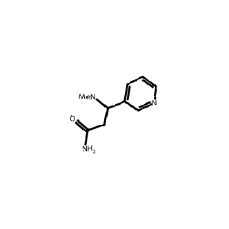 CNC(CC(N)=O)c1cccnc1